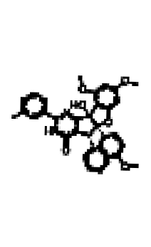 COc1ccc([C@@]23Oc4cc(OC)cc(OC)c4[C@]2(O)c2nc(-c4cccc(C)c4)[nH]c(=O)c2[C@H]3c2ccccc2)cc1